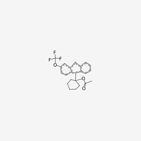 CC(=O)OC1(c2c3ccccc3cc3cc(OC(F)(F)F)ccc23)CCCCC1